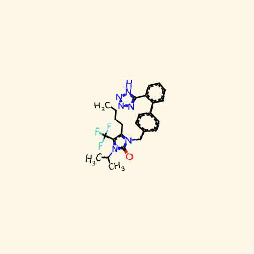 CCCCc1c(C(F)(F)F)n(C(C)C)c(=O)n1Cc1ccc(-c2ccccc2-c2nnn[nH]2)cc1